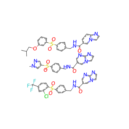 CC(C)COc1cccc(S(=O)(=O)c2ccc(CNC(=O)c3ccc4nccn4c3)cc2)c1.Cn1cc(S(=O)(=O)c2ccc(CNC(=O)c3cnc4nccn4c3)cc2)cn1.O=C(NCc1ccc(S(=O)(=O)c2ccc(C(F)(F)F)cc2Cl)cc1)c1cnc2nccn2c1